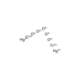 [Cr+3].[Cr+3].[Hg+2].[Hg+2].[O-2].[O-2].[O-2].[O-2].[O-2]